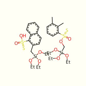 CCO[Si](COS(=O)(=S)c1cccc(C)c1C)(OCC)OCC.CCO[Si](Cc1ccc2ccccc2c1S(=O)(O)=S)(OCC)OCC